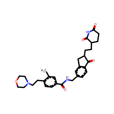 Cc1cc(C(=O)NCc2ccc3c(c2)CC(CCC2CCC(=O)NC2=O)C3=O)ccc1CCN1CCOCC1